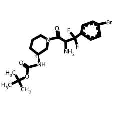 CC(C)(C)OC(=O)N[C@H]1CCCN(C(=O)C(N)C(F)(F)c2ccc(Br)cc2)C1